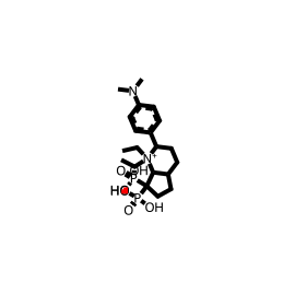 CC[N+]1(CC)C(c2ccc(N(C)C)cc2)CCC2CCC(P(=O)(O)O)(P(=O)(O)O)C21